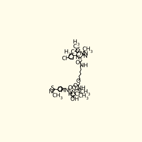 Cc1ncsc1-c1ccc(CNC(=O)[C@@H]2C[C@@H](O)CN2C(=O)[C@@H](NC(=O)COCCCCCCNC(=O)C[C@@H]2N=C(c3ccc(Cl)cc3)c3c(sc(C)c3C)-n3c(C)nnc32)C(C)(C)C)cc1